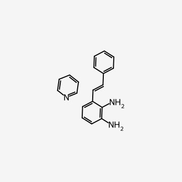 Nc1cccc(C=Cc2ccccc2)c1N.c1ccncc1